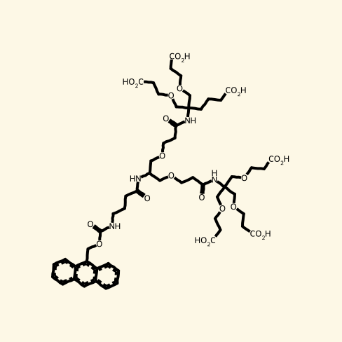 O=C(O)CCCC(COCCC(=O)O)(COCCC(=O)O)NC(=O)CCOCC(COCCC(=O)NC(COCCC(=O)O)(COCCC(=O)O)COCCC(=O)O)NC(=O)CCCNC(=O)OCc1c2ccccc2cc2ccccc12